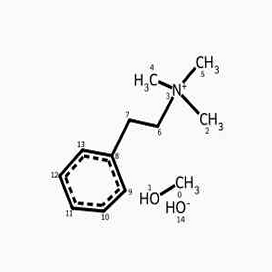 CO.C[N+](C)(C)CCc1ccccc1.[OH-]